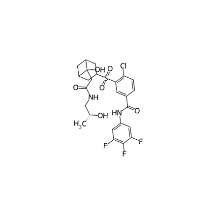 C[C@@H](O)CNC(=O)CC1(O)C2CC1CC(S(=O)(=O)c1cc(C(=O)Nc3cc(F)c(F)c(F)c3)ccc1Cl)C2